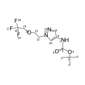 CC(C)(C)OC(=O)Nc1cnn(CCOCC(F)(F)F)c1